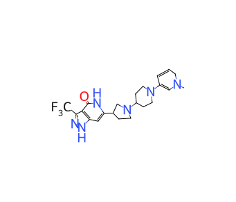 CN1C=C(N2CCC(N3CCC(c4cc5[nH]nc(C(F)(F)F)c5c(=O)[nH]4)C3)CC2)C=CC1